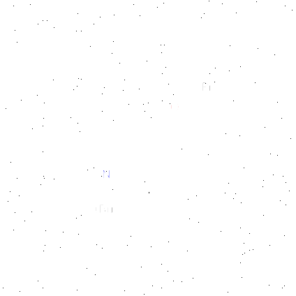 CC(C)OCC1CCN(C(C)(C)C)C1